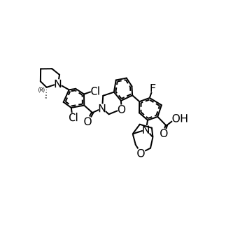 C[C@@H]1CCCCN1c1cc(Cl)c(C(=O)N2COc3c(cccc3-c3cc(N4C5CCC4COC5)c(C(=O)O)cc3F)C2)c(Cl)c1